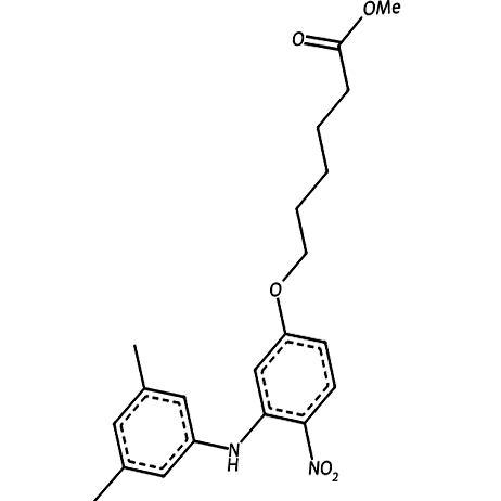 COC(=O)CCCCCOc1ccc([N+](=O)[O-])c(Nc2cc(C)cc(C)c2)c1